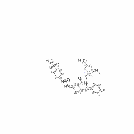 C=N/C(=C\NC)CCN1C(=O)c2cc(NC(=O)Nc3ccc(S(C)(=O)=O)cc3)ccc2CC1c1ccc(F)cn1